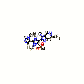 CCS(=O)(=O)c1c(-c2nc3cc(C(F)(F)F)ncc3n2C)nc(-c2cncn2C)n1C